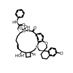 O=C(C[C@H]1CC/C=C/[C@H](O)[C@@H]2CC[C@H]2CN2C[C@@]3(CCCc4cc(Cl)ccc43)COc3ccc(cc32)C(=O)NS1(=O)=O)Nc1ccccc1